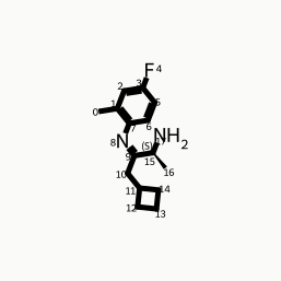 Cc1cc(F)ccc1N=C(CC1CCC1)[C@H](C)N